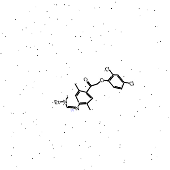 CCN(C)/C=N\c1cc(C)c(C(=O)COc2ccc(Cl)cc2Cl)cc1C